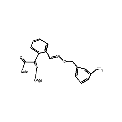 CNC(=O)C(=NOC)c1ccccc1C=NOCc1cccc(C(F)(F)F)c1